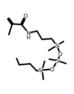 C=C(C)C(=O)NCCC[Si](C)(C)O[Si](C)(C)O[Si](C)(C)CCCC